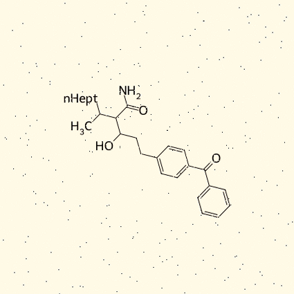 CCCCCCCC(C)C(C(N)=O)C(O)CCc1ccc(C(=O)c2ccccc2)cc1